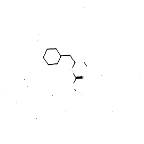 CC(C)(C)OC(=O)N[C@@H](CC(=O)O)CC1CCCCC1